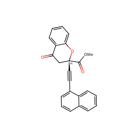 COC(=O)[C@]1(C#Cc2cccc3ccccc23)CC(=O)c2ccccc2O1